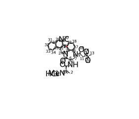 CN[C@@H](C)C(=O)N[C@H]1CN(C(=O)CS(C)(=O)=O)c2ccc(C#N)cc2N(Cc2c(C)ccc3ccccc23)C1=O.Cl